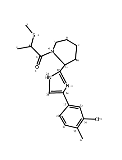 CSC(C)C(=O)N1CCCCC1c1nc(-c2ccc(C)c(Cl)c2)c[nH]1